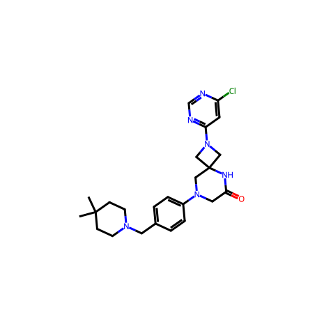 CC1(C)CCN(Cc2ccc(N3CC(=O)NC4(C3)CN(c3cc(Cl)ncn3)C4)cc2)CC1